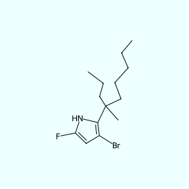 CCCCCC(C)(CCC)c1[nH]c(F)cc1Br